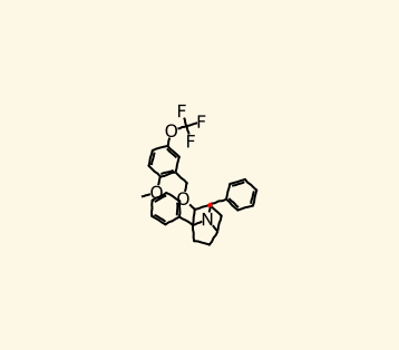 COc1ccc(OC(F)(F)F)cc1COC1CCC2CCC1(c1ccccc1)N2Cc1ccccc1